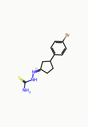 NC(=S)N/N=C1\CCC(c2ccc(Br)cc2)C1